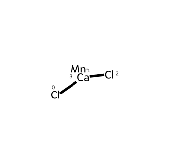 [Cl][Ca][Cl].[Mn]